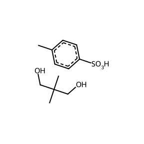 CC(C)(CO)CO.Cc1ccc(S(=O)(=O)O)cc1